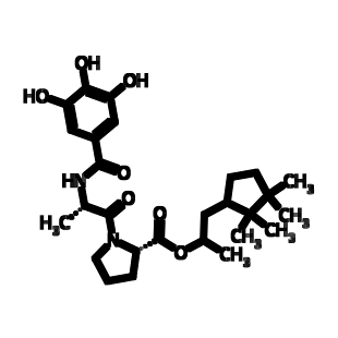 CC(CC1CCC(C)(C)C1(C)C)OC(=O)[C@@H]1CCCN1C(=O)[C@H](C)NC(=O)c1cc(O)c(O)c(O)c1